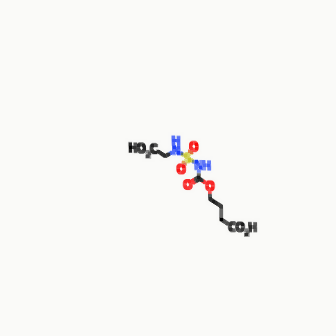 O=C(O)CCCOC(=O)NS(=O)(=O)NCC(=O)O